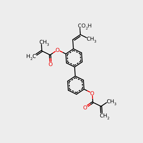 C=C(C)C(=O)Oc1cccc(-c2ccc(C=C(C)C(=O)O)c(OC(=O)C(=C)C)c2)c1